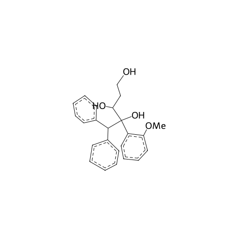 COc1ccccc1C(O)(C(O)CCO)C(c1ccccc1)c1ccccc1